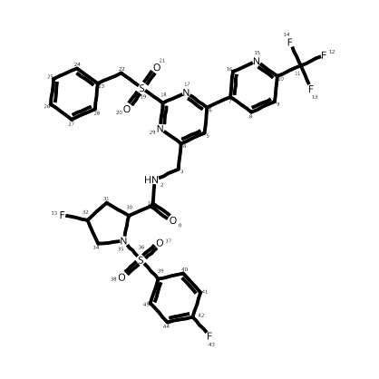 O=C(NCc1cc(-c2ccc(C(F)(F)F)nc2)nc(S(=O)(=O)Cc2ccccc2)n1)C1CC(F)CN1S(=O)(=O)c1ccc(F)cc1